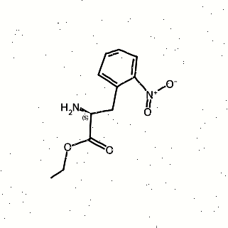 CCOC(=O)[C@@H](N)Cc1ccccc1[N+](=O)[O-]